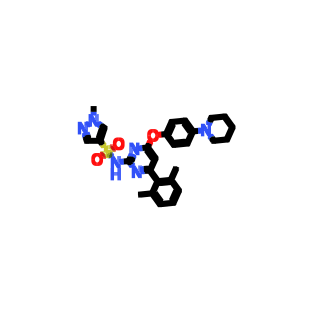 Cc1cccc(C)c1-c1cc(Oc2ccc(N3CCCCC3)cc2)nc(NS(=O)(=O)c2cnn(C)c2)n1